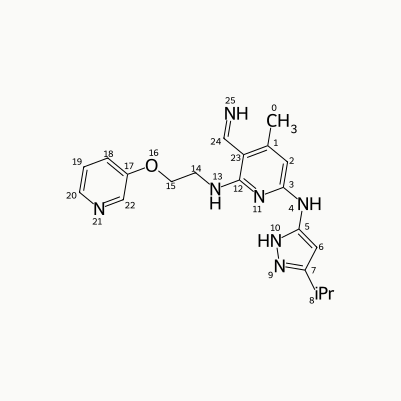 Cc1cc(Nc2cc(C(C)C)n[nH]2)nc(NCCOc2cccnc2)c1C=N